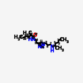 CCCCC(C)NCCCn1cc(CCNC(=O)C(C)CCCC)nn1